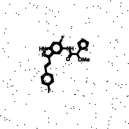 COC(C(=O)Nc1cc2c(C=Cc3ccc(F)cc3)n[nH]c2cc1F)c1cccs1